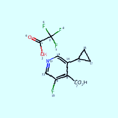 O=C(O)C(F)(F)F.O=C(O)c1c(F)cncc1C1CC1